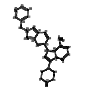 Nc1ncnn2c(C3CCNCC3)cc(-c3ccc4cn(Cc5cccnc5)nc4c3)c12